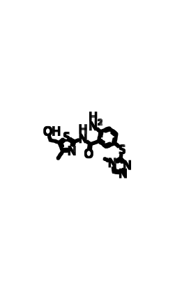 Cc1nc(NC(=O)c2cc(Sc3nncn3C)ccc2N)sc1CO